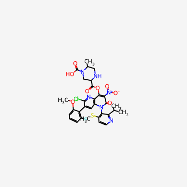 COc1cccc(F)c1-c1cc2c(nc1Cl)c(OC(=O)C1CN(C(=O)O)C(C)CN1)c([N+](=O)[O-])c(=O)n2-c1c(SC)ccnc1C(C)C